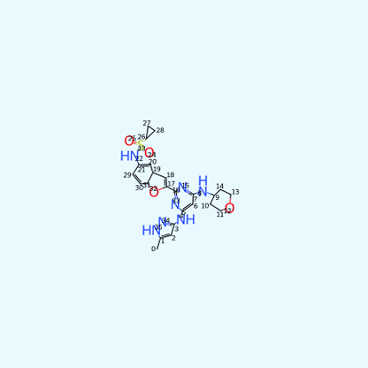 Cc1cc(Nc2cc(NC3CCOCC3)nc(C3=CC4C=C(NS(=O)(=O)C5CC5)C=CC4O3)n2)n[nH]1